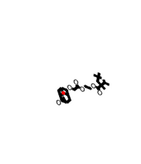 CC(C)C(C)(CC(C)(C)C)C(=O)OCCOC(=O)COC1C2CC3CC(C2)C(=O)OC1C3